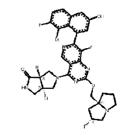 CCc1c(F)ccc2cc(O)cc(-c3ncc4c(N5C[C@H]6CNC(=O)[C@@H]6C5)nc(OC[C@@]56CCCN5C[C@H](F)C6)nc4c3F)c12